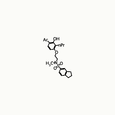 CCCc1c(OCCN(C)S(=O)(=O)c2ccc3c(c2)CCC3)ccc(C(C)=O)c1O